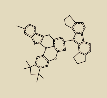 Cc1ccc2c3c(sc2c1)B1c2cc4c(cc2Oc2cc(-n5c6c7c(ccc6c6ccc8c(c65)CCC8)CCC7)cc(c21)O3)C(C)(C)CC4(C)C